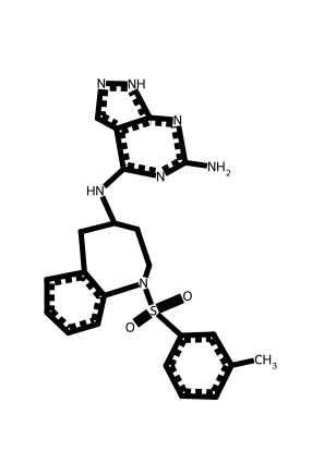 Cc1cccc(S(=O)(=O)N2CCC(Nc3nc(N)nc4[nH]ncc34)Cc3ccccc32)c1